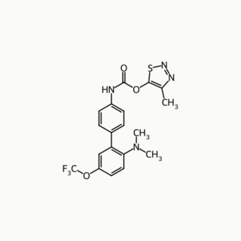 Cc1nnsc1OC(=O)Nc1ccc(-c2cc(OC(F)(F)F)ccc2N(C)C)cc1